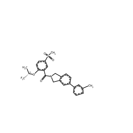 Cc1cccc(-c2ccc3c(c2)CN(C(=O)c2cc(S(C)(=O)=O)ccc2O[C@@H](C)C(F)(F)F)C3)c1